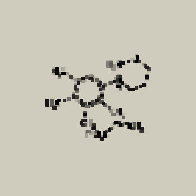 C=CC(=O)OCC.Cc1cc([SiH]2CCCO[SiH2]2)c(C)c(C)c1C